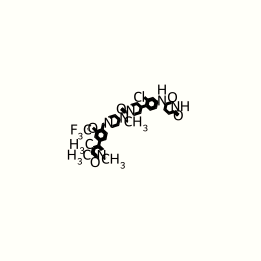 Cc1c(-c2ccc(CN3CCC(N(C)C(=O)N4CCC(c5ccc(NC6CCC(=O)NC6=O)cc5Cl)CC4)CC3)c(OC(F)(F)F)c2)cn(C)c(=O)c1C